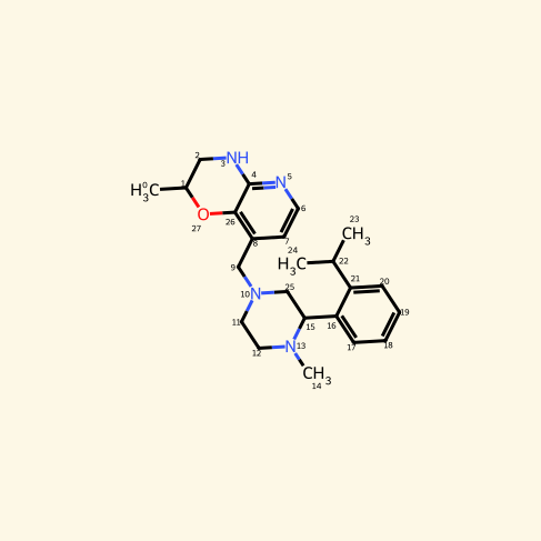 CC1CNc2nccc(CN3CCN(C)C(c4ccccc4C(C)C)C3)c2O1